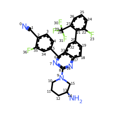 N#Cc1ccc(-c2nc(N3CCCC(N)C3)nc3ccc(-c4c(F)cccc4C(F)(F)F)cc23)cc1F